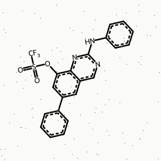 O=S(=O)(Oc1cc(-c2ccccc2)cc2cnc(Nc3ccccc3)nc12)C(F)(F)F